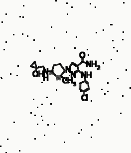 C[C@H]1C[C@@H](NCC2(O)CC2)CCC1n1cc(C(N)=O)c(Nc2ccc(Cl)cc2)n1